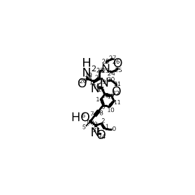 Cc1cc([C@](C)(O)C#Cc2ccc3c(c2)-c2nc(C(N)=O)c(CN4CCOCC4)n2CCO3)no1